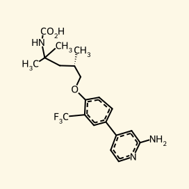 C[C@H](COc1ccc(-c2ccnc(N)c2)cc1C(F)(F)F)CC(C)(C)NC(=O)O